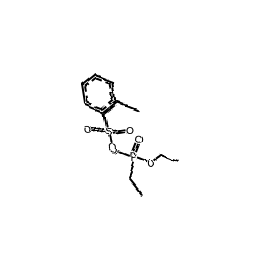 CCOP(=O)(CC)OS(=O)(=O)c1ccccc1C